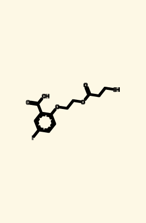 O=C(CCS)OCCOc1ccc(I)cc1C(=O)O